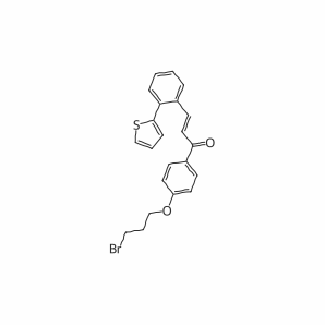 O=C(C=Cc1ccccc1-c1cccs1)c1ccc(OCCCBr)cc1